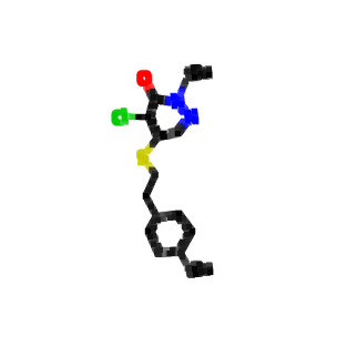 CC(C)(C)c1ccc(CCSc2cnn(C(C)(C)C)c(=O)c2Cl)cc1